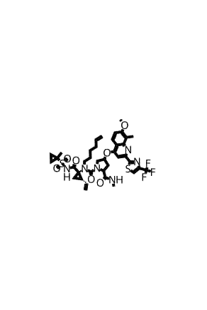 C=CCCCCN(C(=O)N1CC(Oc2cc(-c3nc(C(F)(F)F)cs3)nc3c(C)c(OC)ccc23)CC1C(=O)NC)[C@]1(C(=O)NS(=O)(=O)C2(C)CC2)C[C@H]1C=C